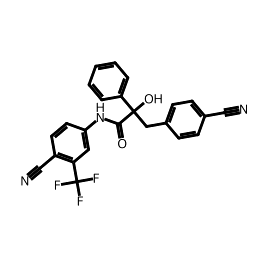 N#Cc1ccc(CC(O)(C(=O)Nc2ccc(C#N)c(C(F)(F)F)c2)c2ccccc2)cc1